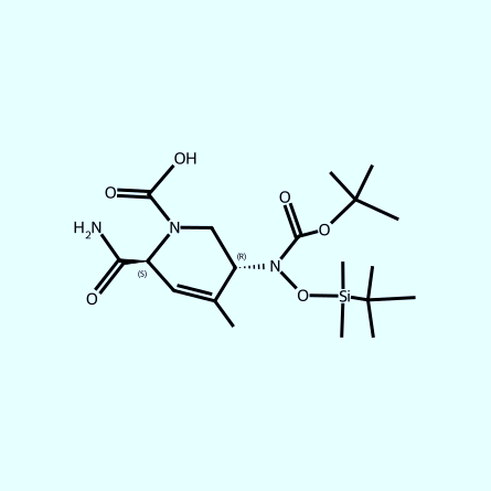 CC1=C[C@@H](C(N)=O)N(C(=O)O)C[C@@H]1N(O[Si](C)(C)C(C)(C)C)C(=O)OC(C)(C)C